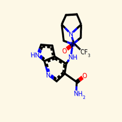 NC(=O)c1cnc2[nH]ccc2c1NN1CC2CCC(C1)N2C(=O)C(F)(F)F